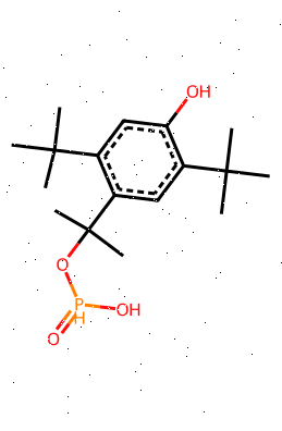 CC(C)(C)c1cc(C(C)(C)O[PH](=O)O)c(C(C)(C)C)cc1O